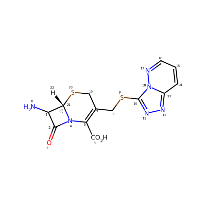 NC1C(=O)N2C(C(=O)O)=C(CSc3nnc4cccnn34)CS[C@@H]12